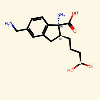 NCc1ccc2c(c1)C[C@H](CCCB(O)O)[C@]2(N)C(=O)O